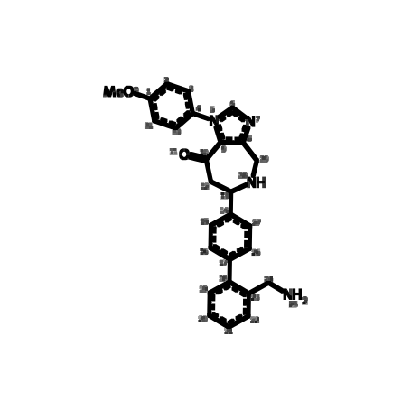 COc1ccc(-n2cnc3c2C(=O)CC(c2ccc(-c4ccccc4CN)cc2)NC3)cc1